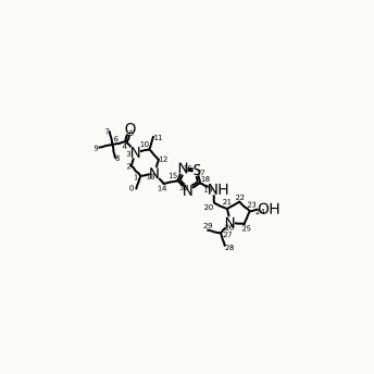 CC1CN(C(=O)C(C)(C)C)C(C)CN1Cc1nsc(NCC2CC(O)CN2C(C)C)n1